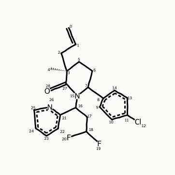 C=CC[C@@]1(C)CCC(c2ccc(Cl)cc2)N(C(CC(F)F)c2ccccn2)C1=O